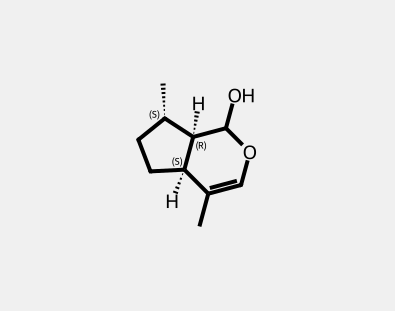 CC1=COC(O)[C@H]2[C@@H]1CC[C@@H]2C